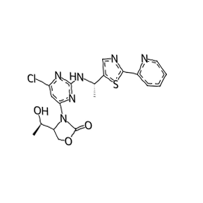 C[C@H](Nc1nc(Cl)cc(N2C(=O)OCC2[C@@H](C)O)n1)c1cnc(-c2ccccn2)s1